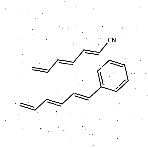 C=CC=CC=CC#N.C=CC=CC=Cc1ccccc1